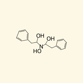 OC(Cc1ccccc1)N(O)C(O)Cc1ccccc1